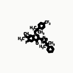 CN(C)c1cc2c(cc1F)c(=O)c(-c1noc(C(C)(C)c3ccccc3)n1)cn2CC(C)(C)c1ccc(C(F)(F)F)cc1